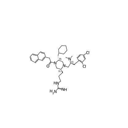 CN(C)[C@@H](Cc1ccc(Cl)cc1Cl)CN1C[C@@H](CC2CCCCC2)N(C(=O)Cc2ccc3ccccc3c2)C[C@@H]1CCCNC(=N)N